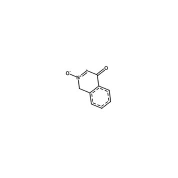 O=C1[C]=[N+]([O-])Cc2ccccc21